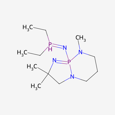 CC[PH](CC)=NP12=NC(C)(C)CN1CCCN2C